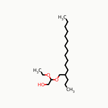 CCCCCCCCCCCCC(CCC)COC(CO)OCC